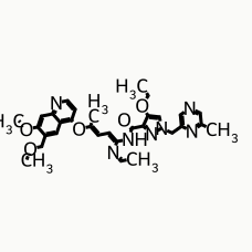 C\C=N/C(=C\C=C(/C)Oc1ccnc2cc(OC)c(COC)cc12)NC(=O)c1nn(Cc2cncc(C)n2)cc1OCC